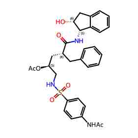 CC(=O)Nc1ccc(S(=O)(=O)NC[C@H](C[C@@H](Cc2ccccc2)C(=O)N[C@H]2c3ccccc3C[C@H]2O)OC(C)=O)cc1